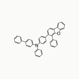 c1ccc(-c2ccc(N(c3ccccc3)c3ccc(-c4ccc5c(oc6ccccc65)c4-c4ccccc4)cc3)cc2)cc1